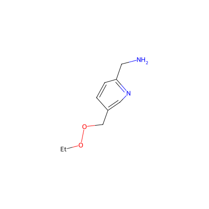 CCOOCc1ccc(CN)nc1